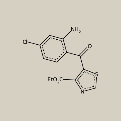 CCOC(=O)c1ncsc1C(=O)c1ccc(Cl)cc1N